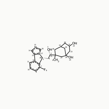 CC1([C@@H](O)C[C@@H]2c3c(F)cccc3-c3cncn32)CC2CC(O)CC(O)(C2)C1